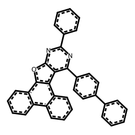 c1ccc(-c2ccc(-c3nc(-c4ccccc4)nc4oc5c6ccccc6c6ccccc6c5c34)cc2)cc1